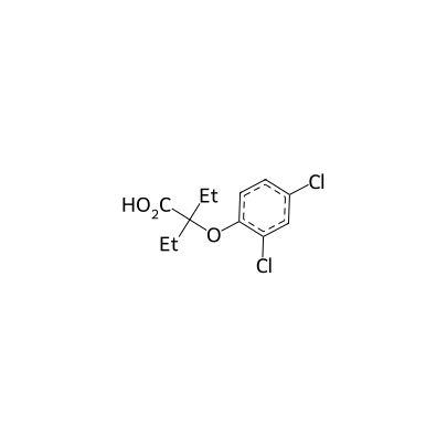 CCC(CC)(Oc1ccc(Cl)cc1Cl)C(=O)O